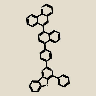 c1ccc(-c2nc(-c3ccc(-c4ccc(-c5cc6cccnc6c6ccccc56)c5ccccc45)cc3)nc3c2sc2ccccc23)cc1